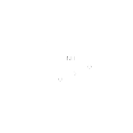 O=S(=O)(NCC1CCCC1)c1ccccc1